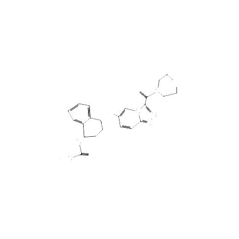 NC(=O)N[C@H]1CC[C@@H](Oc2ccc3nnc(C(=O)N4CCOCC4)n3c2)c2ccccc21